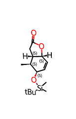 C[C@H]1[C@@H]2CC(=O)O[C@@H]2C=C[C@H]1O[Si](C)(C)C(C)(C)C